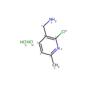 Cc1ccc(CN)c(Cl)n1.Cl.Cl